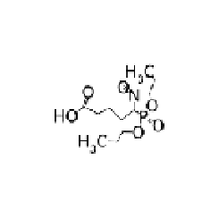 CCCOP(=O)(OCCC)C(CCCC(=O)O)N=O